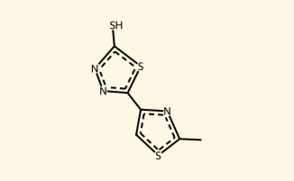 Cc1nc(-c2nnc(S)s2)cs1